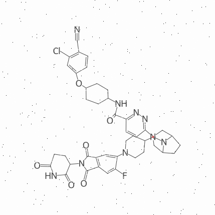 N#Cc1ccc(OC2CCC(NC(=O)c3ccc(N4CC5CCC(C4)N5CC4CCN(c5cc6c(cc5F)C(=O)N(C5CCC(=O)NC5=O)C6=O)CC4)nn3)CC2)cc1Cl